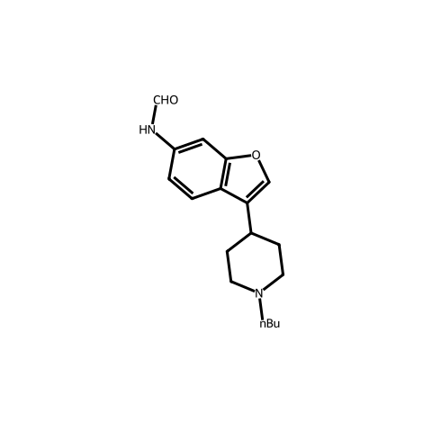 CCCCN1CCC(c2coc3cc(NC=O)ccc23)CC1